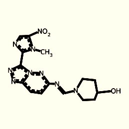 Cn1c([N+](=O)[O-])cnc1-c1nnc2ccc(N=CN3CCC(O)CC3)nn12